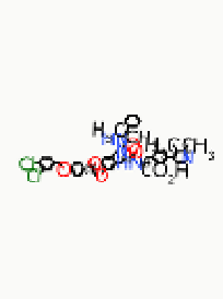 Cc1nccc(-c2ccc(C[C@H](NC(=O)[C@@H]3Cc4cc5c(cc4CN3C(=O)NC(C)(C)c3ccccc3)O[C@@H](c3ccc(OCc4ccc(Cl)c(Cl)c4)cc3)CO5)C(=O)O)cc2)c1C